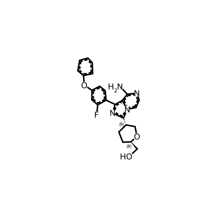 Nc1nccn2c([C@H]3CC[C@H](CO)OC3)nc(-c3ccc(Oc4ccccc4)cc3F)c12